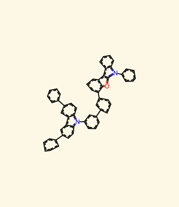 c1ccc(-c2ccc3c(c2)c2cc(-c4ccccc4)ccc2n3-c2cccc(-c3cccc(-c4cccc5c4oc4c5c5ccccc5n4-c4ccccc4)c3)c2)cc1